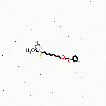 CC(C)CNC(=S)C=CC=CCCCCOCCOc1cccc(F)c1